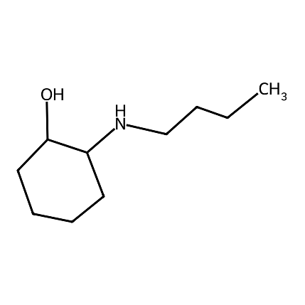 CCCCNC1CCCCC1O